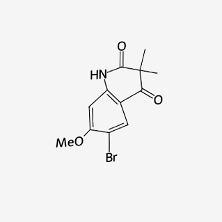 COc1cc2c(cc1Br)C(=O)C(C)(C)C(=O)N2